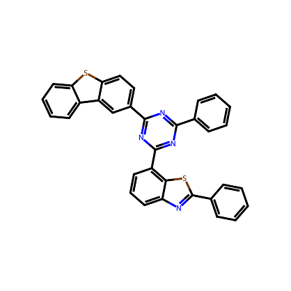 c1ccc(-c2nc(-c3ccc4sc5ccccc5c4c3)nc(-c3cccc4nc(-c5ccccc5)sc34)n2)cc1